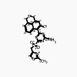 Cc1nc(CS(=O)(=O)c2nc(N)nc(-c3c(Cl)cc4c5c(cccc35)COC4)n2)co1